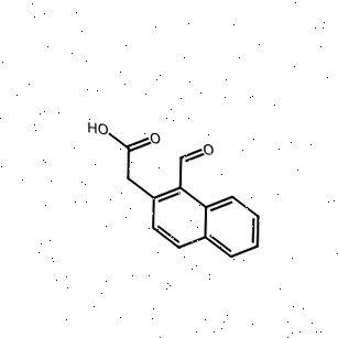 O=Cc1c(CC(=O)O)ccc2ccccc12